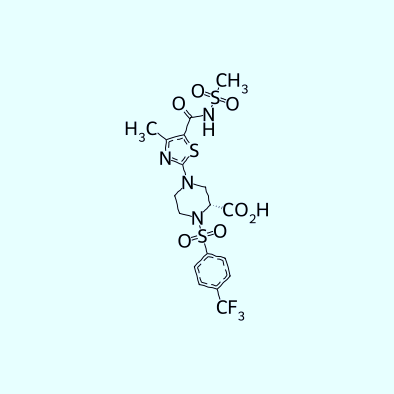 Cc1nc(N2CCN(S(=O)(=O)c3ccc(C(F)(F)F)cc3)[C@@H](C(=O)O)C2)sc1C(=O)NS(C)(=O)=O